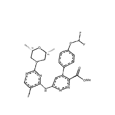 COC(=O)c1nnc(Nc2nc(N3C[C@@H](C)O[C@@H](C)C3)ncc2F)cc1-c1ccc(OC(F)F)cc1